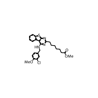 COC(=O)CCCCCCc1nc(NCc2ccc(OC)c(Cl)c2)c2c(n1)sc1ccccc12